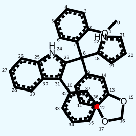 COc1ccccc1C(c1ccc2c(c1)OCO2)(c1ccc[nH]1)c1[nH]c2ccccc2c1-c1ccccc1